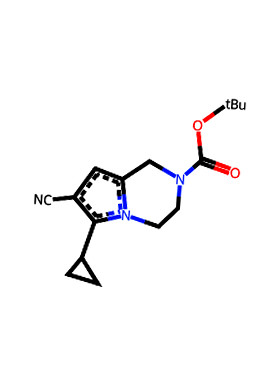 CC(C)(C)OC(=O)N1CCn2c(cc(C#N)c2C2CC2)C1